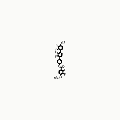 CCCCOc1ccc(C(=O)OC2CC=C(c3ccc(-c4ccc(OCC)c(F)c4F)c(F)c3F)CC2)c(F)c1F